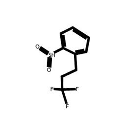 O=[SH](=O)c1ccccc1CCC(F)(F)F